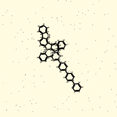 c1ccc(-c2ccc(-c3ccc(-c4nc(-c5ccccc5)nc(-c5ccccc5-n5c6ccccc6c6c7oc8ccccc8c7ccc65)n4)cc3)cc2)cc1